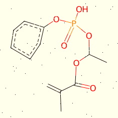 C=C(C)C(=O)OC(C)OP(=O)(O)Oc1ccccc1